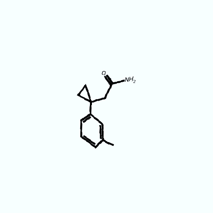 Cc1cccc(C2(CC(N)=O)CC2)c1